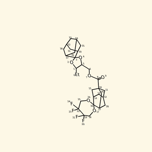 CCC1OC2(OC1COC(=O)C13CC4CC(C1)C1(OCC(F)(F)C(F)(F)CO1)C(C4)C3)C1CC3CC(C1)CC2C3